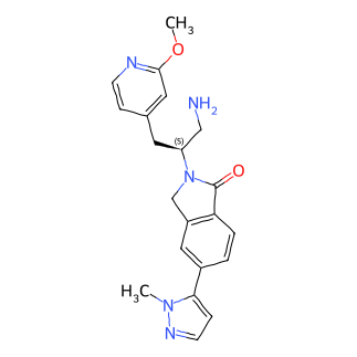 COc1cc(C[C@@H](CN)N2Cc3cc(-c4ccnn4C)ccc3C2=O)ccn1